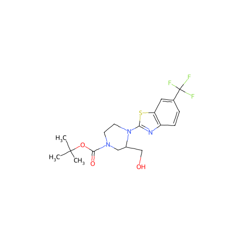 CC(C)(C)OC(=O)N1CCN(c2nc3ccc(C(F)(F)F)cc3s2)C(CO)C1